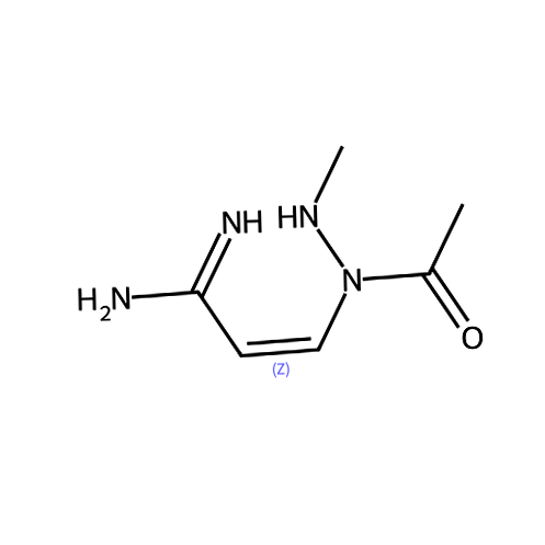 CNN(/C=C\C(=N)N)C(C)=O